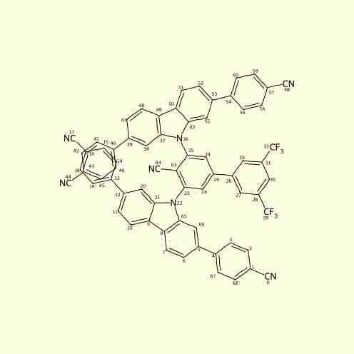 N#Cc1ccc(-c2ccc3c4ccc(-c5ccc(C#N)cc5)cc4n(-c4cc(-c5cc(C(F)(F)F)cc(C(F)(F)F)c5)cc(-n5c6cc(-c7ccc(C#N)cc7)ccc6c6ccc(-c7ccc(C#N)cc7)cc65)c4C#N)c3c2)cc1